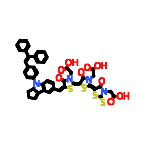 O=C(O)CN1C(=O)/C(=c2/s/c(=c3\s/c(=C/c4ccc5c(c4)C4CCCC4N5c4ccc(C=C(c5ccccc5)c5ccccc5)cc4)c(=O)n3CC(=O)O)c(=O)n2CC(=O)O)SC1=S